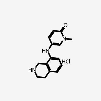 Cl.Cn1cc(Nc2cccc3c2CNCC3)ccc1=O